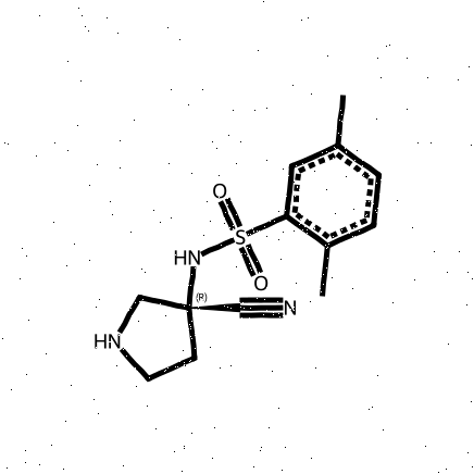 Cc1ccc(C)c(S(=O)(=O)N[C@]2(C#N)CCNC2)c1